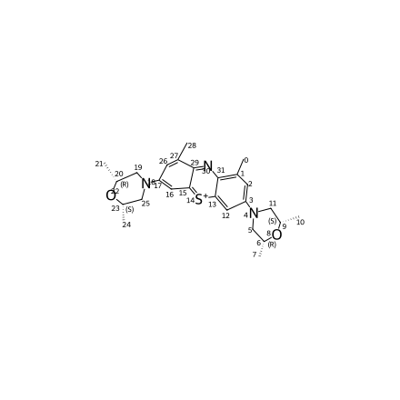 Cc1cc(N2C[C@@H](C)O[C@@H](C)C2)cc2[s+]c3cc(N4C[C@@H](C)O[C@@H](C)C4)cc(C)c3nc12